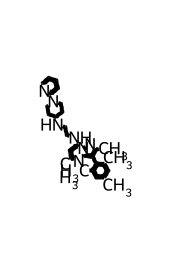 Cc1cc(C)c(-c2c(C)nn3c(NCCNC4CCN(c5ccccn5)CC4)cc(C)nc23)c(C)c1